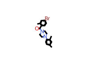 Cc1ccc(N2CCN(C(=O)c3ccc(Br)cc3C)CC2)c(C)c1